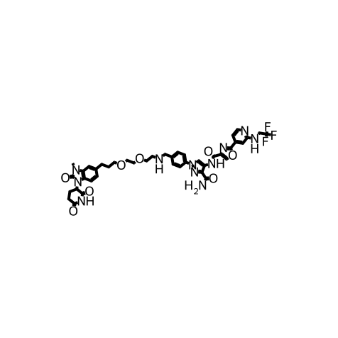 Cn1c(=O)n(C2CCC(=O)NC2=O)c2ccc(CCCOCCOCCNCc3ccc(-n4cc(NC(=O)c5coc(-c6ccnc(NCC(F)(F)F)c6)n5)c(C(N)=O)n4)cc3)cc21